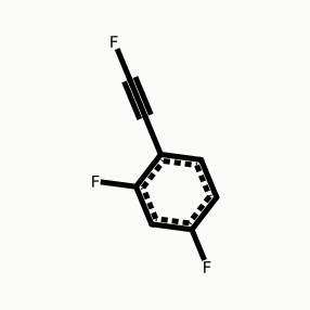 FC#Cc1ccc(F)cc1F